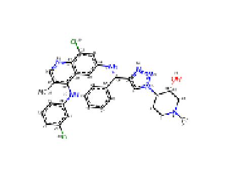 CCN1CCC(n2cc([C@@H](Nc3cc(Cl)c4ncc(C#N)c(Nc5cccc(Cl)c5)c4c3)c3ccccc3)nn2)[C@H](O)C1